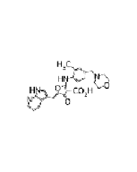 Cc1cc(CN2CCOCC2)ccc1NC1=C(C(=O)O)C(=O)C(=Cc2c[nH]c3ncccc23)O1